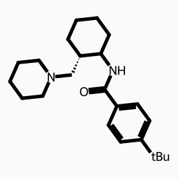 CC(C)(C)c1ccc(C(=O)NC2CCCC[C@H]2CN2CCCCC2)cc1